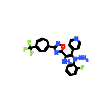 N/C(=C(/c1ccncc1)N(N)c1ccccc1F)c1nc(C2=CC=C(C(F)(F)F)C=CC2)no1